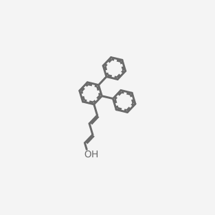 OC=CC=Cc1cccc(-c2ccccc2)c1-c1ccccc1